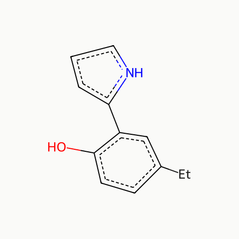 CCc1ccc(O)c(-c2ccc[nH]2)c1